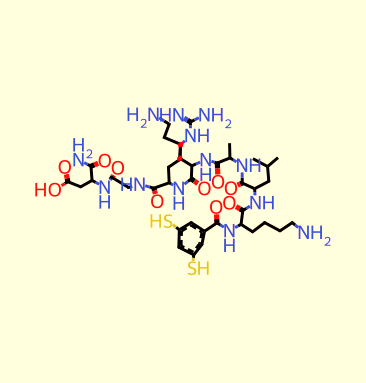 CC(C)CC(NC(=O)C(CCCCN)NC(=O)c1cc(S)cc(S)c1)C(=O)NC(C)C(=O)NC(CCCCN)C(=O)NC(CCCNC(=N)N)C(=O)NCC(=O)NC(CC(=O)O)C(N)=O